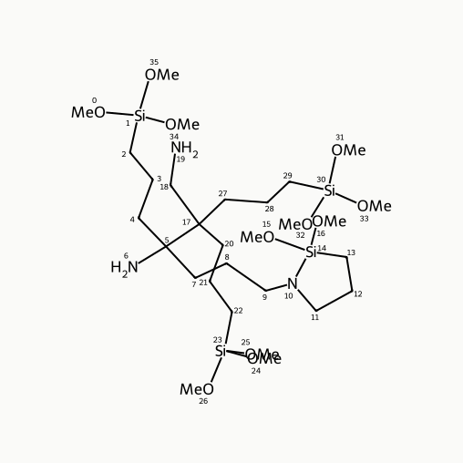 CO[Si](CCCC(N)(CCCN1CCC[Si]1(OC)OC)C(CN)(CCC[Si](OC)(OC)OC)CCC[Si](OC)(OC)OC)(OC)OC